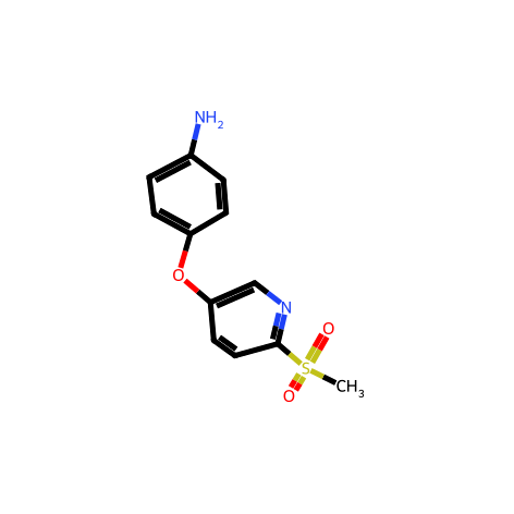 CS(=O)(=O)c1ccc(Oc2ccc(N)cc2)cn1